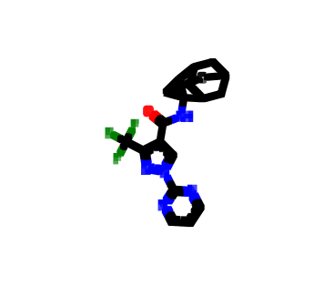 O=C(NC12C3CC4CC(C3)C1C2C4)c1cn(-c2ncccn2)nc1C(F)(F)F